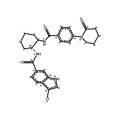 O=C(NC1CCCC[C@H]1NC(=O)c1ccc2c(Cl)c[nH]c2c1)c1ccc(N2CCCCC2=O)cc1